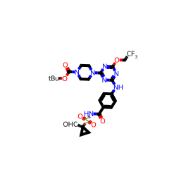 CC(C)(C)OC(=O)N1CCN(c2nc(Nc3ccc(C(=O)NS(=O)(=O)C4(C=O)CC4)cc3)nc(OCC(F)(F)F)n2)CC1